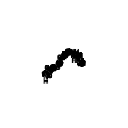 Cc1cccc(C)c1Nc1nn(C)c2nc(Nc3ccc4c(c3)CN(CC(=O)N3CCC(Oc5ccc6c(c5)CN(C5CCCNC5=O)C6=O)CC3)CC4)ncc12